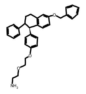 NCCOCCOc1ccc([C@@H]2c3ccc(OCc4ccccc4)cc3CCC2c2ccccc2)cc1